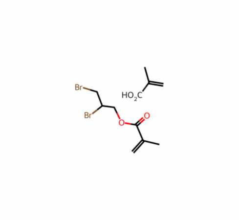 C=C(C)C(=O)O.C=C(C)C(=O)OCC(Br)CBr